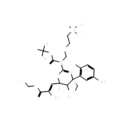 CCOC(=O)/C(C)=C/[C@@]1(C)SC(N(COCC[Si](C)(C)C)C(=O)OC(C)(C)C)=N[C@](CF)(c2cc(N)ccc2F)C1C